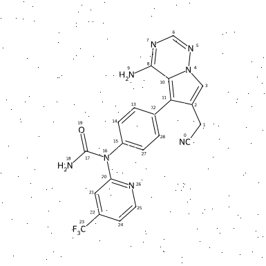 N#CCc1cn2ncnc(N)c2c1-c1ccc(N(C(N)=O)c2cc(C(F)(F)F)ccn2)cc1